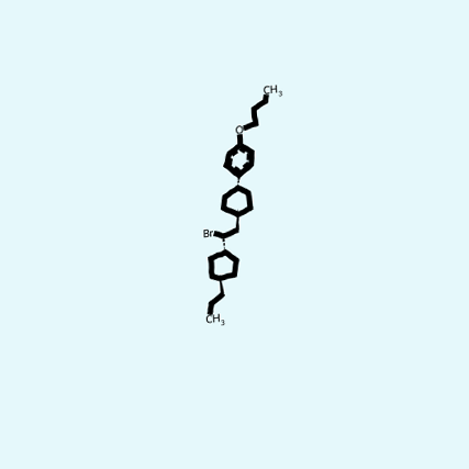 CCCCOc1ccc([C@H]2CC[C@H](CC(Br)[C@H]3CC[C@H](CCC)CC3)CC2)cc1